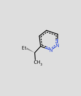 CC[C@@H](C)c1cccnn1